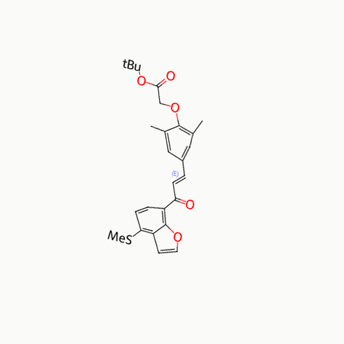 CSc1ccc(C(=O)/C=C/c2cc(C)c(OCC(=O)OC(C)(C)C)c(C)c2)c2occc12